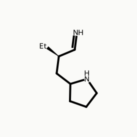 CC[C@@H](C=N)CC1CCCN1